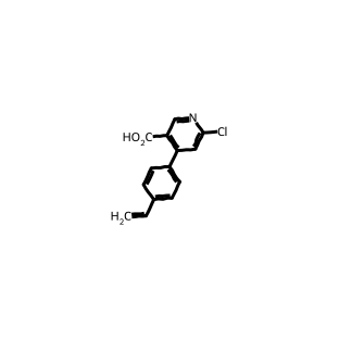 C=Cc1ccc(-c2cc(Cl)ncc2C(=O)O)cc1